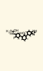 CC(O)Nc1ccc(-c2cccc(-c3ccc4[nH]cnc4c3)c2O)cc1F